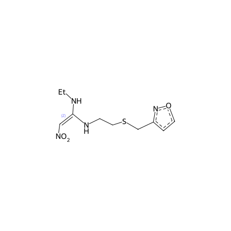 CCN/C(=C/[N+](=O)[O-])NCCSCc1ccon1